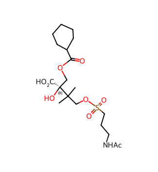 CC(=O)NCCCS(=O)(=O)OCC(C)(C)[C@@](O)(COC(=O)C1CCCCC1)C(=O)O